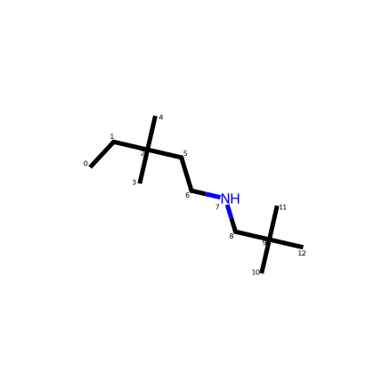 CCC(C)(C)CCNCC(C)(C)C